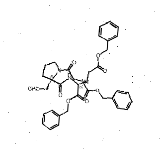 O=CC[C@@]1(C(=O)N[C@@H](CCC(=O)OCc2ccccc2)C(=O)OCc2ccccc2)CCCN1C(=O)CNC(=O)OCc1ccccc1